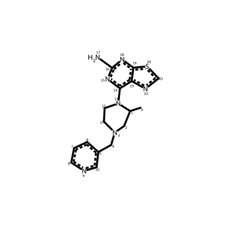 CC1CN(Cc2cccnc2)CCN1c1nc(N)nc2scnc12